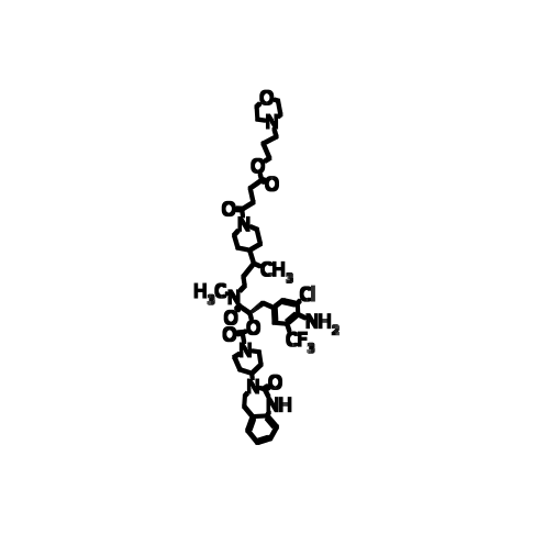 CC(CCN(C)C(=O)[C@@H](Cc1cc(Cl)c(N)c(C(F)(F)F)c1)OC(=O)N1CCC(N2CCc3ccccc3NC2=O)CC1)C1CCN(C(=O)CCC(=O)OCCCN2CCOCC2)CC1